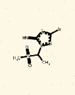 CC(n1nc(Br)sc1=N)S(C)(=O)=O